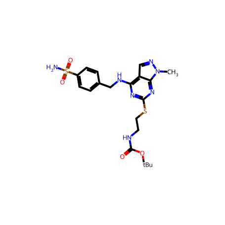 Cn1ncc2c(NCc3ccc(S(N)(=O)=O)cc3)nc(SCCNC(=O)OC(C)(C)C)nc21